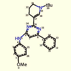 COc1ccc(Nc2cc(-c3ccccc3)nc(C3=CN(C(C)(C)C)CCC3)n2)cc1